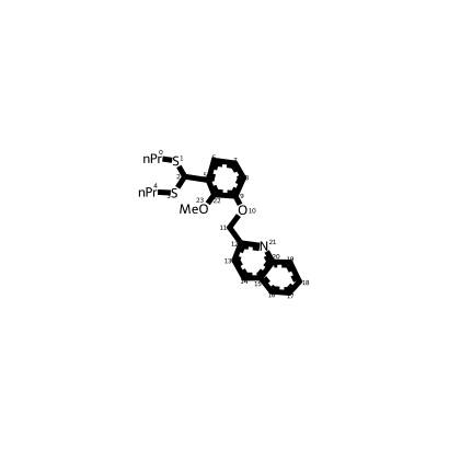 CCCSC(SCCC)c1cccc(OCc2ccc3ccccc3n2)c1OC